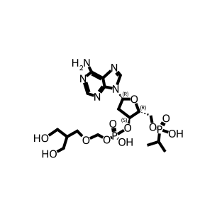 CC(C)P(=O)(O)OC[C@H]1O[C@@H](n2cnc3c(N)ncnc32)C[C@@H]1OP(=O)(O)OCOCC(CO)CO